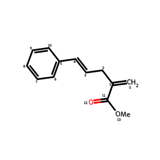 C=C(CC=Cc1ccccc1)C(=O)OC